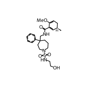 COC1=CC[C@@H](C)C=C1C(=O)NCC1(c2ccccc2)CCCN(S(=O)(=O)NCCO)CC1